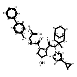 CC1([C@@H](C(=O)N2C[C@H](O)C[C@H]2C(=O)N[C@H](Cc2ccc(-c3ccccc3)cc2)C(N)=O)n2cc(C3CC3)nn2)CC2CCCC(C2)C1